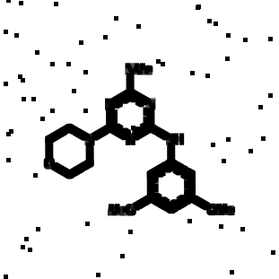 CNc1nc(Nc2cc(OC)cc(OC)c2)nc(N2CCOCC2)n1